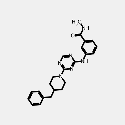 CNC(=O)c1cccc(Nc2ncnc(N3CCC(Cc4ccccc4)CC3)n2)c1